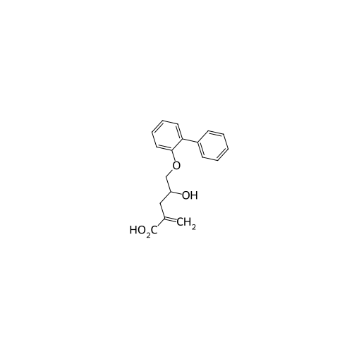 C=C(CC(O)COc1ccccc1-c1ccccc1)C(=O)O